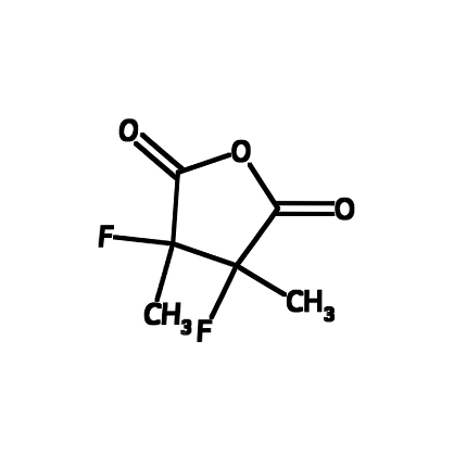 CC1(F)C(=O)OC(=O)C1(C)F